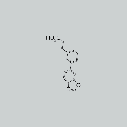 O=C(O)C=Cc1cccc(-c2ccc3c(c2)OCO3)c1